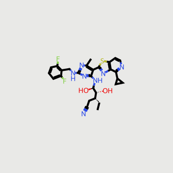 CC[C@H](CC#N)[C@@H](O)[C@@H](O)Nc1nc(NCc2c(F)cccc2F)nc(C)c1-c1nc2c(C3CC3)nccc2s1